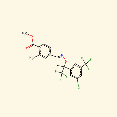 COC(=O)c1ccc(C2=NOC(c3cc(Cl)cc(C(F)(F)F)c3)(C(F)(F)F)C2)cc1C